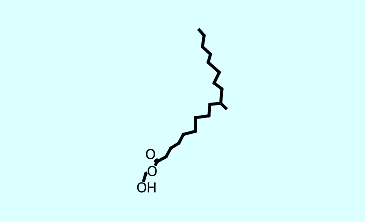 CCCCCCCCC(C)CCCCCCCCC(=O)OCO